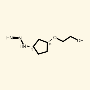 N=NN[C@H]1CC[C@@H](OCCO)C1